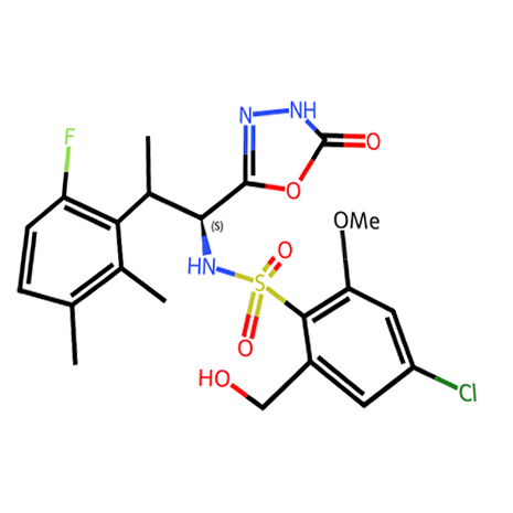 COc1cc(Cl)cc(CO)c1S(=O)(=O)N[C@H](c1n[nH]c(=O)o1)C(C)c1c(F)ccc(C)c1C